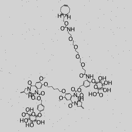 C=C1C[C@H]2[C@H](OC)N(C(=O)OCc3ccc(O[C@@H]4O[C@H](C(=O)O)[C@@H](O)[C@H](O)[C@H]4O)cc3)c3cc(OCCCCCOc4cc5c(cc4OC)C(=O)N4CC(=C)C[C@H]4[C@H](OC)N5C(=O)OCc4ccc(O[C@@H]5O[C@H](C(=O)O)[C@@H](O)[C@H](O)[C@H]5O)c(NC(=O)CCOCCOCCOCCOCCNC(=O)OCC5[C@H]6CCC#CCC[C@@H]56)c4)c(OC)cc3C(=O)N2C1